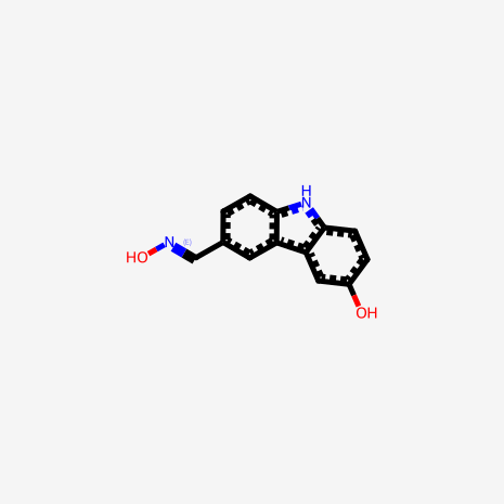 O/N=C/c1ccc2[nH]c3ccc(O)cc3c2c1